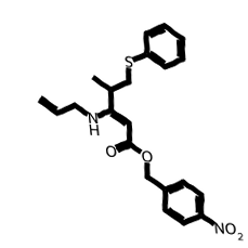 C=CCN/C(=C\C(=O)OCc1ccc([N+](=O)[O-])cc1)C(C)CSc1ccccc1